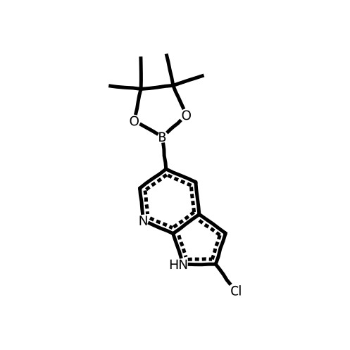 CC1(C)OB(c2cnc3[nH]c(Cl)cc3c2)OC1(C)C